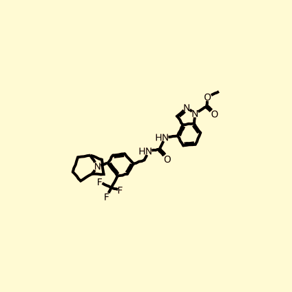 COC(=O)n1ncc2c(NC(=O)NCc3ccc(N4C5CCCC4CC5)c(C(F)(F)F)c3)cccc21